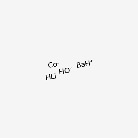 [BaH+].[Co].[LiH].[OH-]